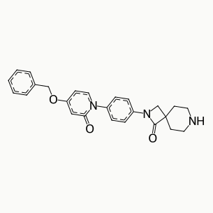 O=C1N(c2ccc(-n3ccc(OCc4ccccc4)cc3=O)cc2)CC12CCNCC2